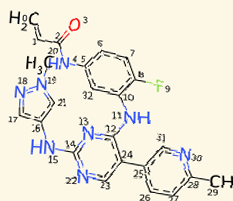 C=CC(=O)Nc1ccc(F)c(Nc2nc(Nc3cnn(C)c3)ncc2-c2ccc(C)nc2)c1